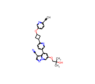 C#Cc1ccc(OC2CC(c3ccc(-c4cc(OCC(C)(C)O)cn5ncc(C#N)c45)cn3)C2)cn1